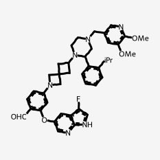 COc1cc(CN2CCN(C3CC4(C3)CN(c3ccc(C=O)c(Oc5cnc6[nH]cc(F)c6c5)c3)C4)C(c3ccccc3C(C)C)C2)cnc1OC